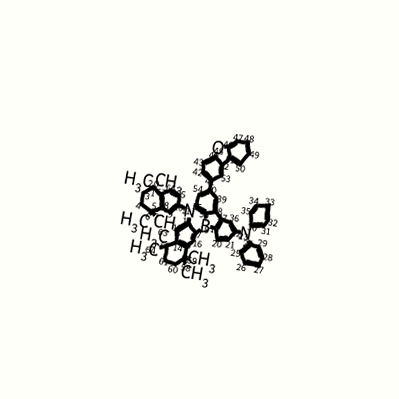 CC1(C)CCC(C)(C)c2cc(N3c4cc5c(cc4B4c6ccc(N(c7ccccc7)c7ccccc7)cc6-c6cc(-c7ccc8oc9ccccc9c8c7)cc3c64)C(C)(C)CCC5(C)C)ccc21